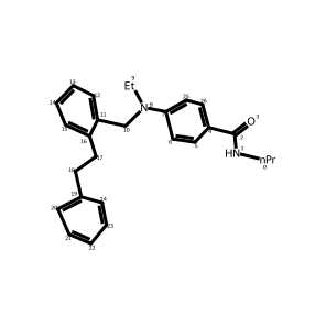 CCCNC(=O)c1ccc(N(CC)Cc2ccccc2CCc2ccccc2)cc1